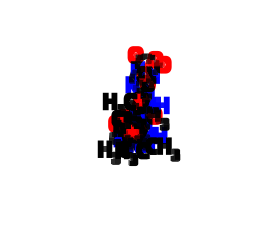 COB(OC(=O)CN(C)CC(C)=O)C1CCCN1C(=O)[C@@H](C)NC(=O)[C@@H](NC(=O)CNC(=O)CNC(=O)CN1CCN2CCN3CCN(CC1)CC(=O)OC(CC(=O)C3)OC(=O)C2)C(C)C